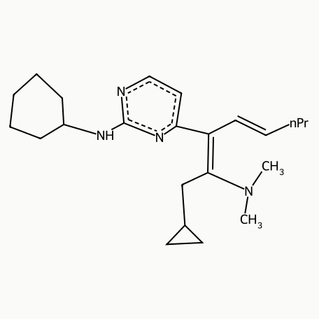 CCC/C=C/C(=C(/CC1CC1)N(C)C)c1ccnc(NC2CCCCC2)n1